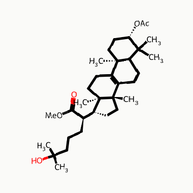 COC(=O)[C@H](CCCC(C)(C)O)[C@H]1CC[C@@]2(C)C3=C(CC[C@]12C)[C@@]1(C)CC[C@H](OC(C)=O)C(C)(C)C1CC3